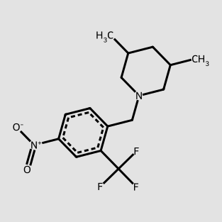 CC1CC(C)CN(Cc2ccc([N+](=O)[O-])cc2C(F)(F)F)C1